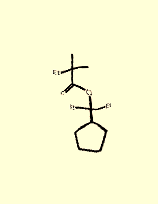 CCC(C)(C)C(=O)OC(CC)(CC)C1CCCC1